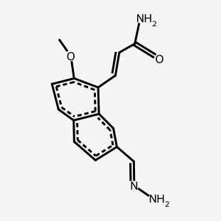 COc1ccc2ccc(C=NN)cc2c1C=CC(N)=O